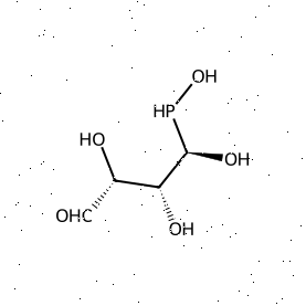 O=C[C@H](O)[C@@H](O)[C@H](O)PO